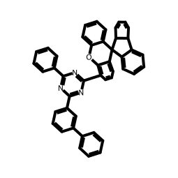 C1=CC2c3ccccc3C3(c4ccccc4Oc4c(-c5nc(-c6ccccc6)nc(-c6cccc(-c7ccccc7)c6)n5)cccc43)C2C=C1